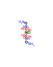 Cl.Cl.NCc1cccc(CNC(=O)C(O)C(O)CC#CCC(O)C(O)C(=O)NCc2cccc(CN)c2)c1